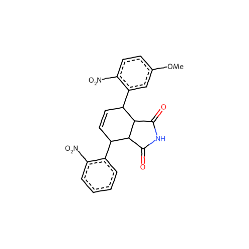 COc1ccc([N+](=O)[O-])c(C2C=CC(c3ccccc3[N+](=O)[O-])C3C(=O)NC(=O)C23)c1